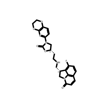 O=C1O[C@@H](CCNC[C@H]2Cn3c(=O)ccc4ccc(F)c2c43)CN1c1ccc2c(n1)OCCO2